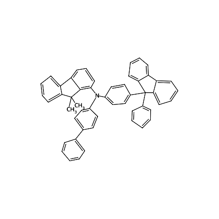 CC1(C)c2ccccc2-c2cccc(N(c3ccc(-c4ccccc4)cc3)c3ccc(C4(c5ccccc5)c5ccccc5-c5ccccc54)cc3)c21